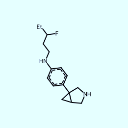 CCC(F)CCNc1ccc(C23CNCC2C3)cc1